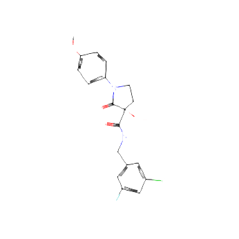 O=C(NCc1cc(F)cc(Cl)c1)[C@@]1(O)CCN(c2ccc(OC(F)(F)F)cc2)C1=O